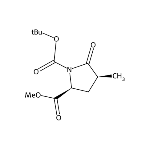 COC(=O)[C@@H]1C[C@H](C)C(=O)N1C(=O)OC(C)(C)C